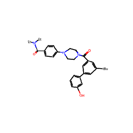 CCN(CC)C(=O)c1ccc(N2CCN(C(=O)c3cc(-c4cccc(O)c4)cc(C(C)(C)C)c3)CC2)cc1